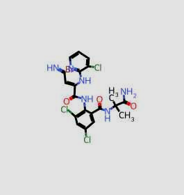 CC(C)(NC(=O)c1cc(Cl)cc(Cl)c1NC(=O)/C(=C/C(=N)Br)Nc1ncccc1Cl)C(N)=O